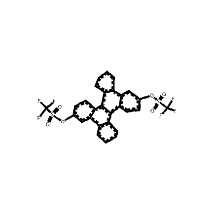 O=S(=O)(Oc1ccc2c(c1)c1ccccc1c1c3ccc(OS(=O)(=O)C(F)(F)F)cc3c3ccccc3c21)C(F)(F)F